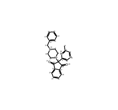 Cc1cncc(C2(N3CCN(Cc4ccccc4)CC3)C(=O)c3ccccc3C2=O)n1